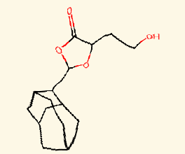 O=C1OC(C2C3CC4CC(C3)CC2C4)OC1CCO